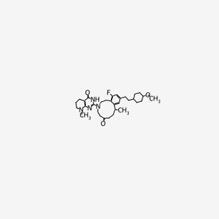 COC1CCC(CCc2cc(F)c3c(c2)C(C)CCC(=O)CCN(c2nc4c(c(=O)[nH]2)CCCN4C)CC3)CC1